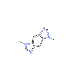 Cn1cnc2cc3c(cc21)ncn3C